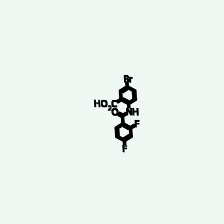 O=C(Nc1ccc(Br)cc1C(=O)O)c1ccc(F)cc1F